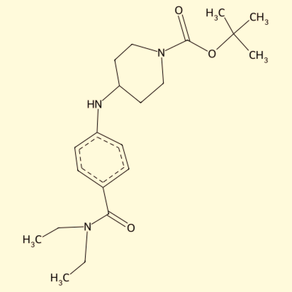 CCN(CC)C(=O)c1ccc(NC2CCN(C(=O)OC(C)(C)C)CC2)cc1